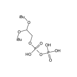 CCC(C)OC(COP(=O)(O)OP(=O)(O)O)OC(C)CC